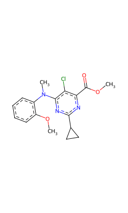 COC(=O)c1nc(C2CC2)nc(N(C)c2ccccc2OC)c1Cl